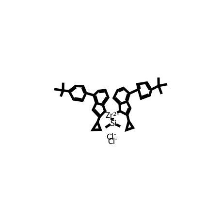 C[Si](C)=[Zr+2]([CH]1C(C2CC2)=Cc2c(-c3ccc(C(C)(C)C)cc3)cccc21)[CH]1C(C2CC2)=Cc2c(-c3ccc(C(C)(C)C)cc3)cccc21.[Cl-].[Cl-]